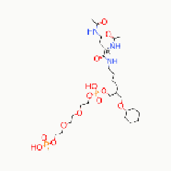 CC(=O)NCC[C@H](NC(C)=O)C(=O)NCCCCC(COC1CCCCC1)COP(=O)(O)OCCOCCOCCOP(C)(=O)O